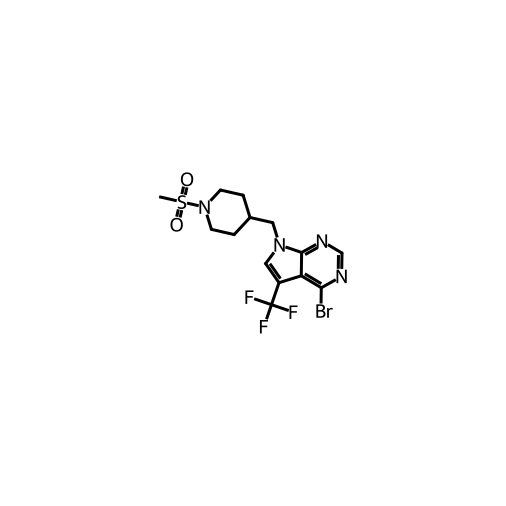 CS(=O)(=O)N1CCC(Cn2cc(C(F)(F)F)c3c(Br)ncnc32)CC1